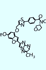 COc1cc(OCc2csc(-c3ccc(C(=O)N(C)[C@@H]4CCOC4)cc3)n2)c2cc(-c3cn4nc(C)cnc4n3)oc2c1